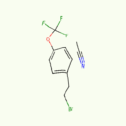 CC#N.FC(F)(F)Oc1ccc(CCBr)cc1